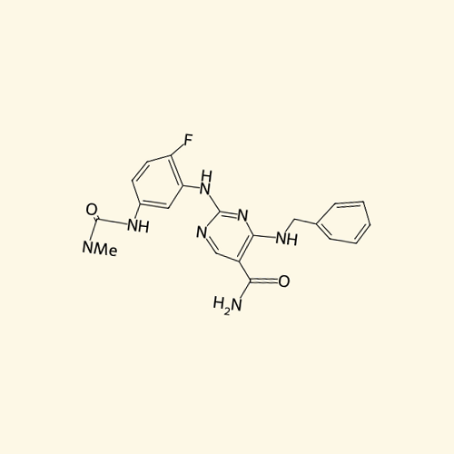 CNC(=O)Nc1ccc(F)c(Nc2ncc(C(N)=O)c(NCc3ccccc3)n2)c1